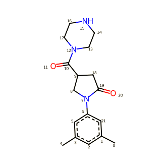 Cc1cc(C)cc(N2CC(C(=O)N3CCNCC3)CC2=O)c1